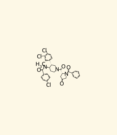 CN(C(=O)c1ccc(Cl)cc1)[C@@H]1CCN(C(=O)[C@H]2CC(=O)CN2C(=O)c2ccccc2)C[C@H]1c1ccc(Cl)c(Cl)c1